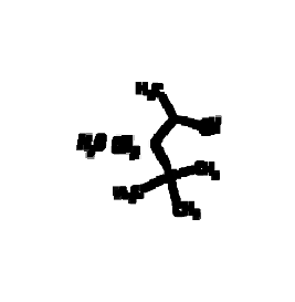 CC(O)C[N+](C)(C)C.O.O